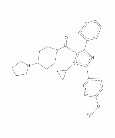 O=C(c1c(-c2cccnc2)nc(-c2ccc(OC(F)(F)F)cc2)n1C1CC1)N1CCC(N2CCCC2)CC1